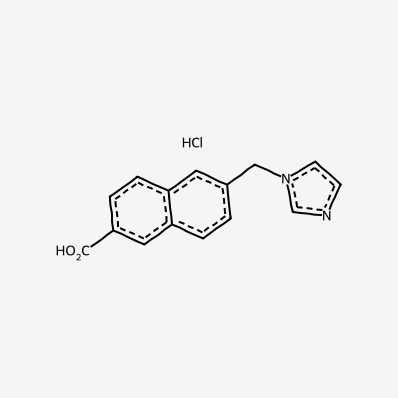 Cl.O=C(O)c1ccc2cc(Cn3ccnc3)ccc2c1